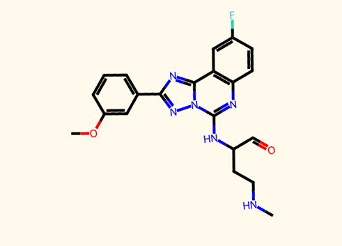 CNCCC(C=O)Nc1nc2ccc(F)cc2c2nc(-c3cccc(OC)c3)nn12